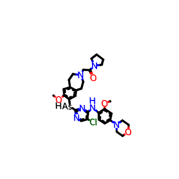 COc1cc(N2CCOCC2)ccc1Nc1nc([AsH]c2cc3c(cc2OC)CCN(CC(=O)N2CCCC2)CC3)ncc1Cl